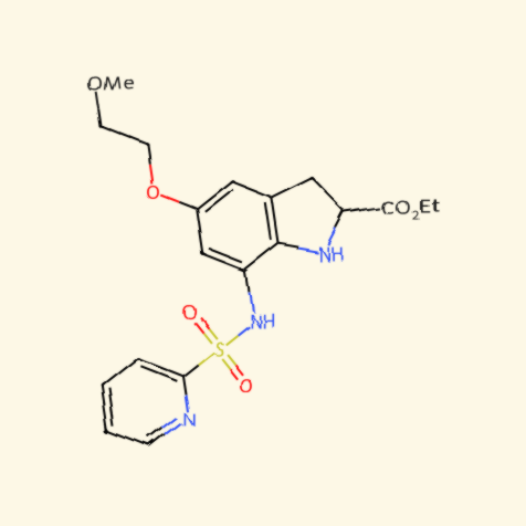 CCOC(=O)C1Cc2cc(OCCOC)cc(NS(=O)(=O)c3ccccn3)c2N1